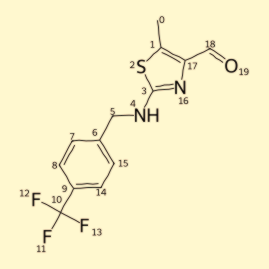 Cc1sc(NCc2ccc(C(F)(F)F)cc2)nc1C=O